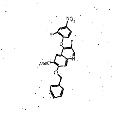 COc1cc2c(Oc3ccc([N+](=O)[O-])cc3F)c(F)cnc2cc1OCc1ccccc1